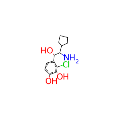 NC(C1CCCC1)C(O)c1ccc(O)c(O)c1Cl